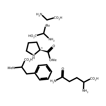 CCC(C)C(N)C(=O)O.CNC(Cc1ccccc1)C(=O)O.COC(=O)[C@@H]1CCCN1.NC(=O)CCC(N)C(=O)O.NCC(=O)O